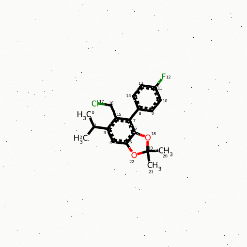 CC(C)c1cc2c(c(-c3ccc(F)cc3)c1CCl)OC(C)(C)O2